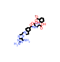 COC(=O)c1ccccc1NC(C[C@@H](NC(=O)c1ccc2c(c1)CCN2Cc1cnc2nc(N)nc(N)c2n1)C(=O)O)C(=O)O